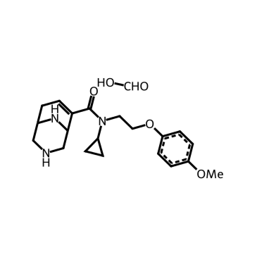 COc1ccc(OCCN(C(=O)C2=CCC3CNCC2N3)C2CC2)cc1.O=CO